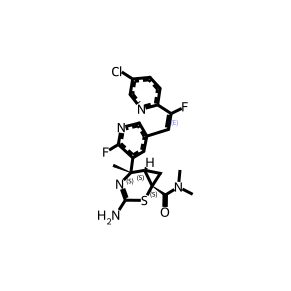 CN(C)C(=O)[C@]12C[C@H]1[C@@](C)(c1cc(/C=C(/F)c3ccc(Cl)cn3)cnc1F)N=C(N)S2